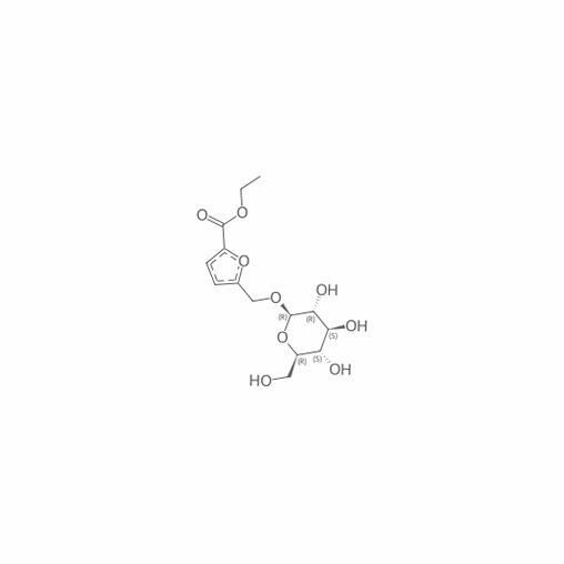 CCOC(=O)c1ccc(CO[C@@H]2O[C@H](CO)[C@@H](O)[C@H](O)[C@H]2O)o1